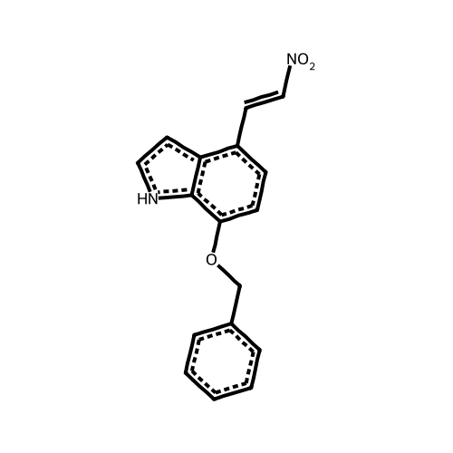 O=[N+]([O-])C=Cc1ccc(OCc2ccccc2)c2[nH]ccc12